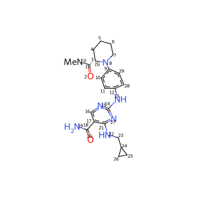 CNC(=O)[C@@H]1CCCCN1c1ccc(Nc2ncc(C(N)=O)c(NCC3CC3)n2)cc1